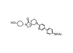 CC(=O)Nc1ccc(-c2ccc(N3CCC[C@]4(CCN([C@H]5CC[C@H](O)CC5)C4=O)C3)nc2)cc1